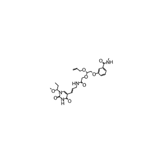 C=CCOC(COc1cccc(C(=O)NC)c1)OCC(=O)NC/C=C/c1cn(C(CC)OC)c(=O)[nH]c1=O